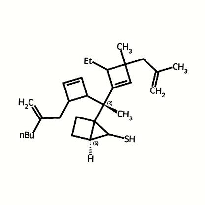 C=C(C)CC1(C)C=C([C@@](C)(C2C=CC2CC(=C)CCCC)C23CC[C@@H]2C3S)C1CC